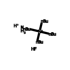 CCCC[N+](CCCC)(CCCC)CCCC.F.N.[H+]